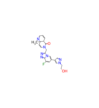 CC12C=CN(Cc3nnc4c(F)cc(-c5cnn(CCO)c5)cn34)C(=O)C1C=CC=N2